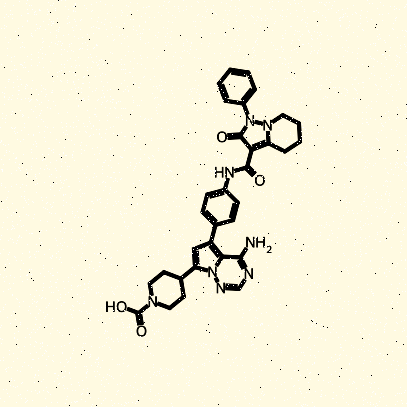 Nc1ncnn2c(C3CCN(C(=O)O)CC3)cc(-c3ccc(NC(=O)c4c5n(n(-c6ccccc6)c4=O)CCCC5)cc3)c12